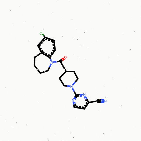 N#Cc1ccnc(N2CCC(C(=O)N3CCCCc4cc(Cl)ccc43)CC2)n1